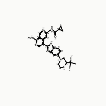 CNc1ncc(-c2nc3cc(N4CCOC(C(C)(F)F)C4)ccc3o2)c2cc(NC(=O)C3CC3)ncc12